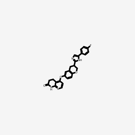 O=C1CCc2c(Oc3ccc4c(c3)CC(c3ncc(-c5ccc(F)cc5)[nH]3)CO4)ccnc2N1